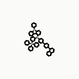 c1ccc(-n2c3ccccc3c3c(N(c4ccc(-c5ccc(-c6cccc7ccccc67)cc5)cc4)c4cccc([Si](c5ccccc5)(c5ccccc5)c5ccccc5)c4)cccc32)cc1